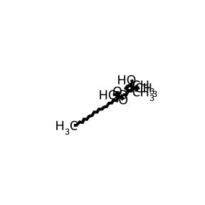 CCCCCCCCCCCCCCCCCCC(C(=O)O)C(=O)OCc1ccc(CO)c(C(C)(C)C)c1